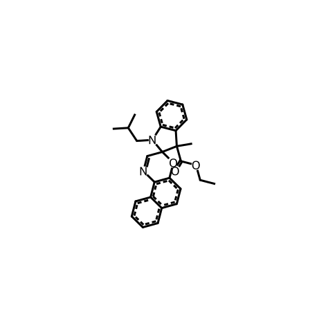 CCOC(=O)C1(C)c2ccccc2N(CC(C)C)C12C=Nc1c(ccc3ccccc13)O2